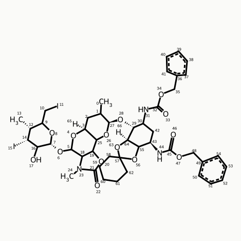 CC1C[C@@H]2OC(O[C@H]3OC(CI)[C@@H](C)[C@@H](I)C3O)C3C(OC(=O)N3C)C2O[C@@H]1O[C@@H]1C(NC(=O)OCc2ccccc2)C[C@@H](NC(=O)OCc2ccccc2)C2OC3(CCCCC3)O[C@H]21